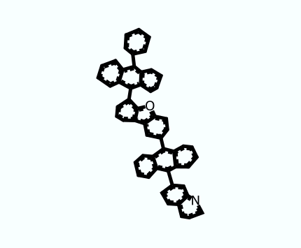 c1ccc(-c2c3ccccc3c(-c3cccc4c3oc3ccc(-c5c6ccccc6c(-c6ccc7cccnc7c6)c6ccccc56)cc34)c3ccccc23)cc1